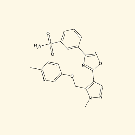 Cc1ccc(OCc2c(-c3nc(-c4cccc(S(N)(=O)=O)c4)no3)cnn2C)cn1